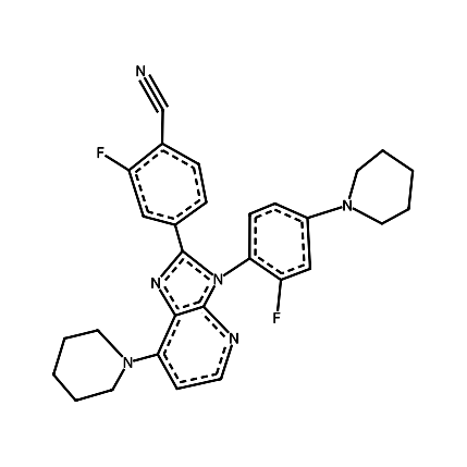 N#Cc1ccc(-c2nc3c(N4CCCCC4)ccnc3n2-c2ccc(N3CCCCC3)cc2F)cc1F